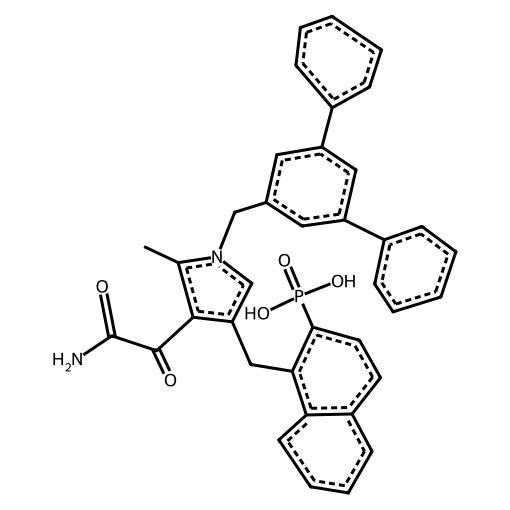 Cc1c(C(=O)C(N)=O)c(Cc2c(P(=O)(O)O)ccc3ccccc23)cn1Cc1cc(-c2ccccc2)cc(-c2ccccc2)c1